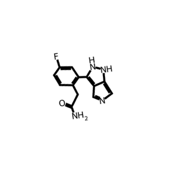 NC(=O)Cc1ccc(F)cc1-c1[nH][nH]c2cncc1-2